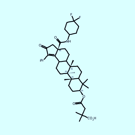 CC(C)C1=C2C3CC[C@@]4(C)[C@@](C)(CCC5C(C)(C)[C@@H](OC(=O)CC(C)(C)C(=O)O)CC[C@@]54C)C3CC[C@@]2(C(=O)NC2CCC(F)(F)CC2)CC1=O